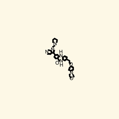 O=C1Nc2cc(CCOc3ccc(N4CCOCC4)cc3)ccc2Nc2cc(-c3cn(CCN4CCCCC4)c4cnccc34)ccc21